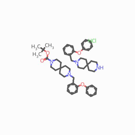 CC(C)(C)OC(=O)N1CCC2(CCN(Cc3ccccc3Oc3ccccc3)CC2)CC1.Cl.c1ccc(Oc2ccccc2CN2CCC3(CCNCC3)CC2)cc1